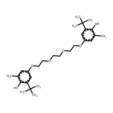 Cc1cc(OCCOCCOCCOc2cc(C)c(O)c(C(C)(C)C)c2)cc(C(C)(C)C)c1O